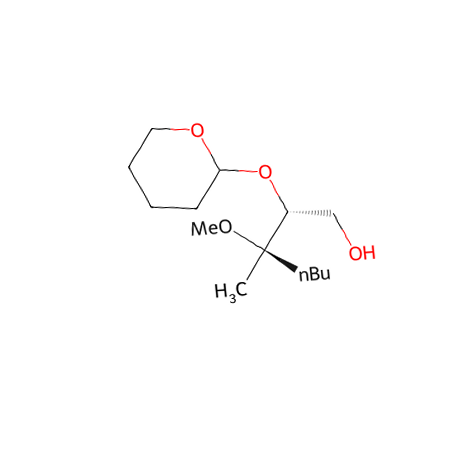 CCCC[C@@](C)(OC)[C@@H](CO)OC1CCCCO1